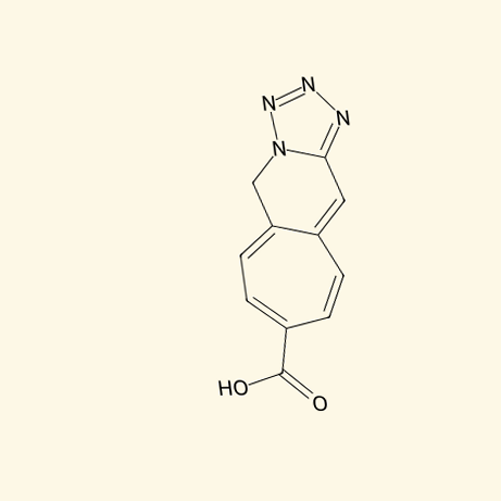 O=C(O)C1=CC=C2Cn3nnnc3C=C2C=C1